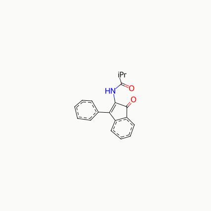 CC(C)C(=O)NC1=C(c2ccccc2)c2ccccc2C1=O